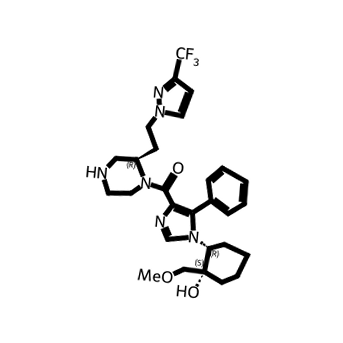 COC[C@]1(O)CCCC[C@H]1n1cnc(C(=O)N2CCNC[C@H]2CCn2ccc(C(F)(F)F)n2)c1-c1ccccc1